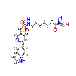 O=C(CCCCCCNS(=O)(=O)Cc1ccc(-c2ccc3[nH]ccc3c2)nc1)NO